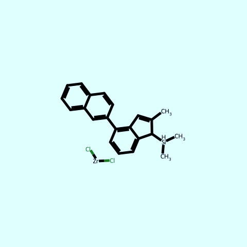 CC1=Cc2c(-c3ccc4ccccc4c3)cccc2C1[SiH](C)C.[Cl][Zr][Cl]